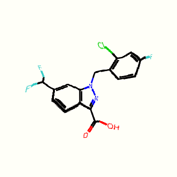 O=C(O)c1nn(Cc2ccc(F)cc2Cl)c2cc(C(F)F)ccc12